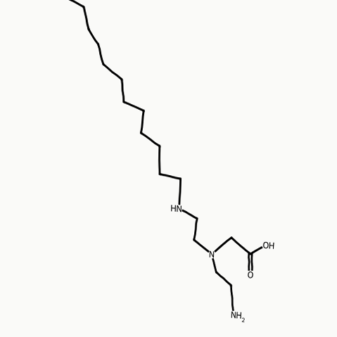 CCCCCCCCCCCCNCCN(CCN)CC(=O)O